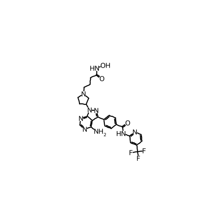 Nc1ncnc2c1c(-c1ccc(C(=O)Nc3cc(C(F)(F)F)ccn3)cc1)nn2C1CCN(CCCC(=O)NO)C1